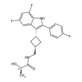 C[C@@H](O)C(=O)NC[C@H]1C[C@H](c2c(-c3ccc(F)cc3)[nH]c3c(F)cc(F)cc32)C1